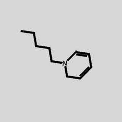 CCCCCN1[C]=CC=CC1